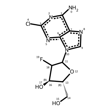 Nc1nc(Cl)nc2c1ncn2C1O[C@H](CO)[C@@H](O)C1F